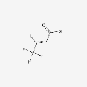 O=C(O)C=C(I)C(F)(F)F